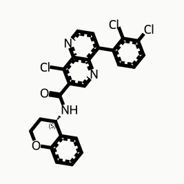 O=C(N[C@H]1CCOc2ccccc21)c1cnc2c(-c3cccc(Cl)c3Cl)ccnc2c1Cl